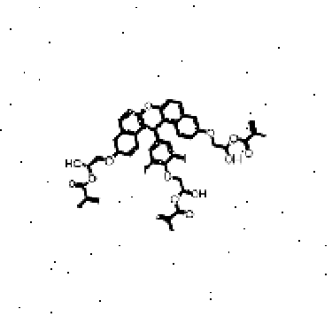 C=C(C)C(=O)OC(O)COc1ccc2c3c(ccc2c1)Oc1ccc2c(c1C3c1cc(I)c(OCC(O)OC(=O)C(=C)C)c(I)c1)C=CC(OCC(O)OC(=O)C(=C)C)C2